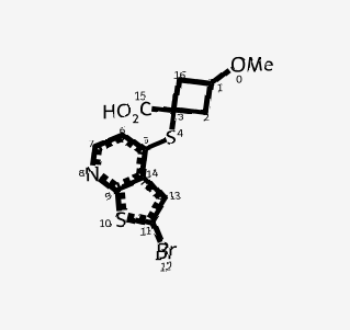 COC1CC(Sc2ccnc3sc(Br)cc23)(C(=O)O)C1